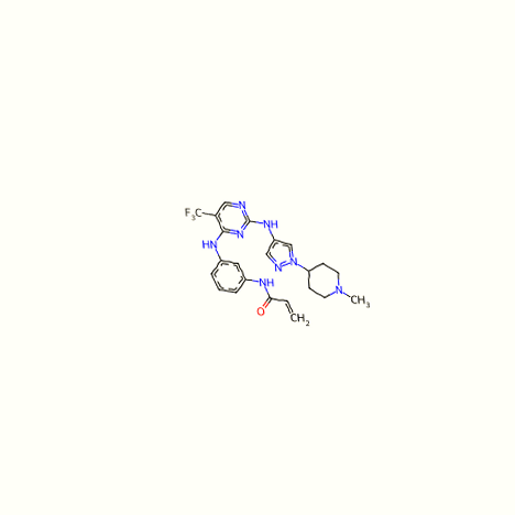 C=CC(=O)Nc1cccc(Nc2nc(Nc3cnn(C4CCN(C)CC4)c3)ncc2C(F)(F)F)c1